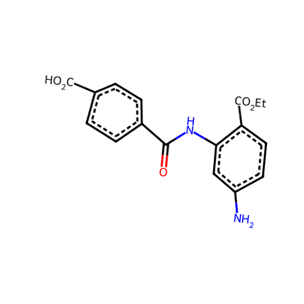 CCOC(=O)c1ccc(N)cc1NC(=O)c1ccc(C(=O)O)cc1